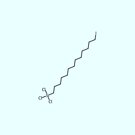 Cl[Si](Cl)(Cl)CCCCCCCCCCCCCI